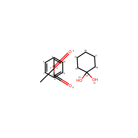 O=c1oc(=O)c2ccc1cc2.OC1(O)CCCCC1